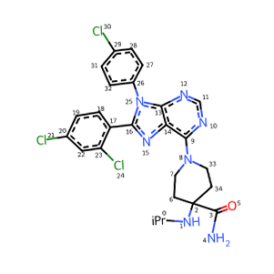 CC(C)NC1(C(N)=O)CCN(c2ncnc3c2nc(-c2ccc(Cl)cc2Cl)n3-c2ccc(Cl)cc2)CC1